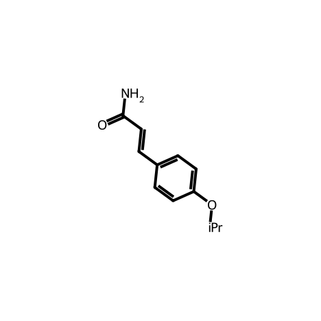 CC(C)Oc1ccc(C=CC(N)=O)cc1